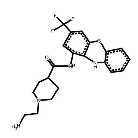 NCCN1CCC(C(=O)Nc2cc(C(F)(F)F)cc3c2Nc2ccccc2S3)CC1